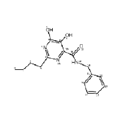 CCCCc1nc(O)c(O)c(C(=O)NCc2ccccc2)n1